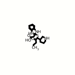 CCCC(=O)C(SC1(CC(=O)O)Nc2ccccc2N1)C1CCCNC1